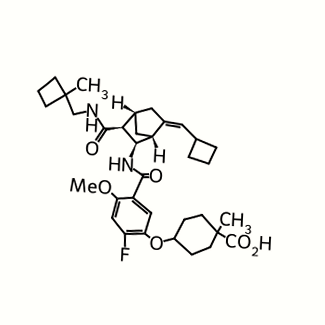 COc1cc(F)c(OC2CCC(C)(C(=O)O)CC2)cc1C(=O)N[C@H]1[C@@H](C(=O)NCC2(C)CCC2)[C@@H]2C/C(=C/C3CCC3)[C@H]1C2